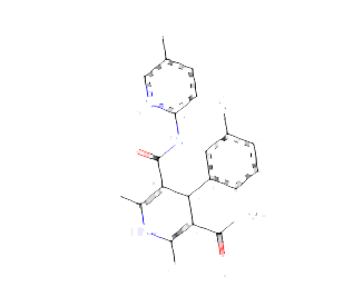 CCOC(=O)c1ccc(NC(=O)C2=C(C)NC(C)=C(C(=O)OC)C2c2cccc([N+](=O)[O-])c2)nc1